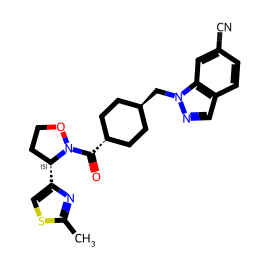 Cc1nc([C@@H]2CCON2C(=O)[C@H]2CC[C@H](Cn3ncc4ccc(C#N)cc43)CC2)cs1